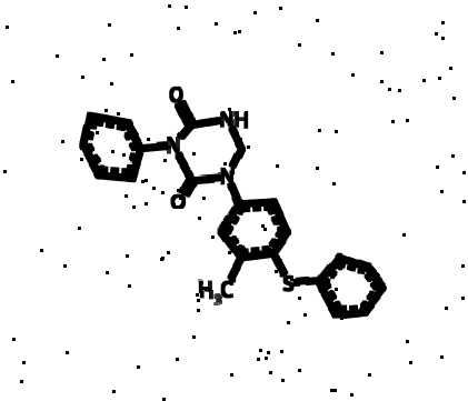 Cc1cc(N2CNC(=O)N(c3ccccc3)C2=O)ccc1Sc1ccccc1